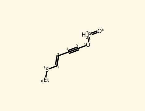 CCSC=CC#CO[PH2]=O